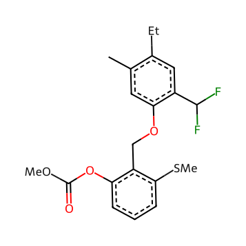 CCc1cc(C(F)F)c(OCc2c(OC(=O)OC)cccc2SC)cc1C